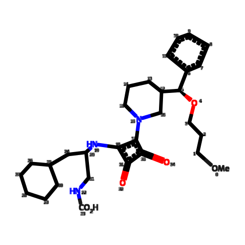 COCCCO[C@H](c1ccccc1)C1CCCN(c2c(NC(CNC(=O)O)CC3CCCCC3)c(=O)c2=O)C1